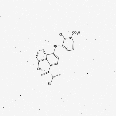 CCN(CC)C(=O)c1ccc(Nc2cccc(C(=O)O)c2Cl)c2cccc(C)c12